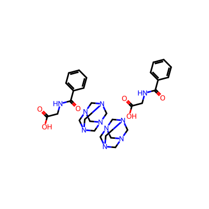 C1N2CN3CN1CN(C2)C3.C1N2CN3CN1CN(C2)C3.O=C(O)CNC(=O)c1ccccc1.O=C(O)CNC(=O)c1ccccc1